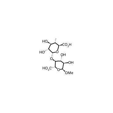 CO[C@H]1O[C@H](C(=O)O)[C@@H](O[C@H]2O[C@H](C(=O)O)[C@@H](C)[C@H](O)[C@H]2O)[C@H](O)[C@H]1O